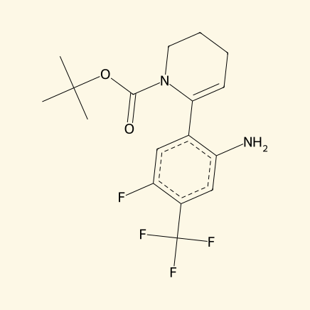 CC(C)(C)OC(=O)N1CCCC=C1c1cc(F)c(C(F)(F)F)cc1N